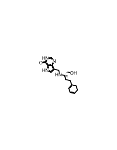 O=c1[nH]cnc2c(CN[C@H](CO)CCC3=CC=CCC3)c[nH]c12